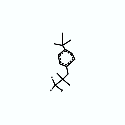 CC(C)(C)c1ccc(CC(C)(C)C(F)(F)F)cc1